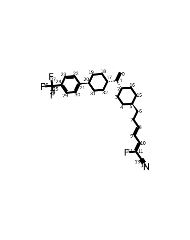 C=C([C@H]1CC[C@H](CC/C=C/C=C(\F)C#N)CC1)[C@H]1CC[C@H](c2ccc(C(F)(F)F)cc2)CC1